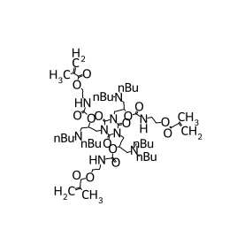 C=C(C)C(=O)OCCNC(=O)OC(CN(CCCC)CCCC)Cn1c(=O)n(CC(CN(CCCC)CCCC)OC(=O)NCCOC(=O)C(=C)C)c(=O)n(CC(CN(CCCC)CCCC)OC(=O)NCCOC(=O)C(=C)C)c1=O